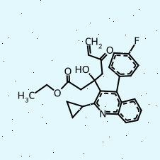 C=CC(=O)CC(O)(CC(=O)OCC)c1c(C2CC2)nc2ccccc2c1-c1ccc(F)cc1